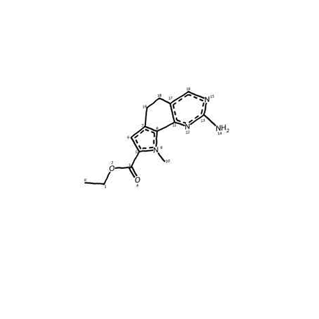 CCOC(=O)c1cc2c(n1C)-c1nc(N)ncc1CC2